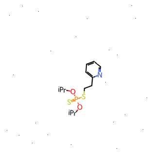 CC(C)OP(=S)(OC(C)C)SCCc1ccccn1